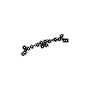 C(=C\c1ccc(-c2ccc3c(c2)c2ccccc2n3-c2ccc3ccccc3c2)cc1)/c1ccc(-c2ccc3c(c2)C2(c4ccccc4-c4ccccc42)c2cc(-c4ccc(/C=C/c5ccc(-c6ccc7c(c6)c6ccccc6n7-c6ccc7ccccc7c6)cc5)cc4)ccc2-3)cc1